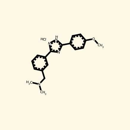 COc1ccc(-c2nc(-c3cccc(CN(C)C)c3)n[nH]2)cc1.Cl